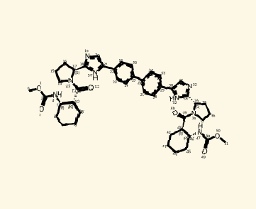 COC(=O)N[C@@H]1CCCC[C@H]1C(=O)N1CCC[C@H]1c1ncc(-c2ccc(-c3ccc(-c4cnc([C@@H]5CCCN5C(=O)[C@@H]5CCCC[C@H]5NC(=O)OC)[nH]4)cc3)cc2)[nH]1